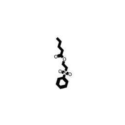 CCCCC(=O)OCCS(=O)(=O)c1ccccc1